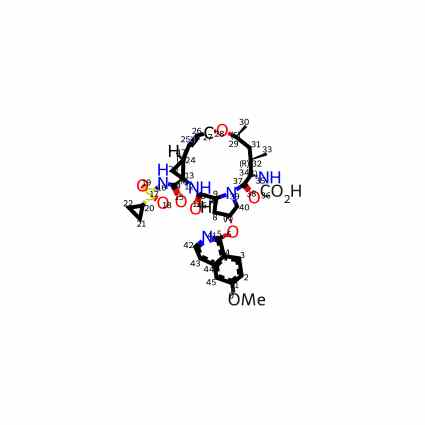 COc1ccc2c(O[C@@H]3C[C@H]4C(=O)N[C@]5(C(=O)NS(=O)(=O)C6CC6)C[C@H]5/C=C\CO[C@@H](C)C[C@@H](C)[C@H](NC(=O)O)C(=O)N4C3)nccc2c1